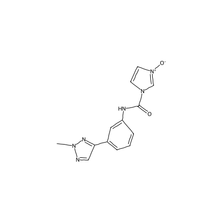 Cn1ncc(-c2cccc(NC(=O)n3cc[n+]([O-])c3)c2)n1